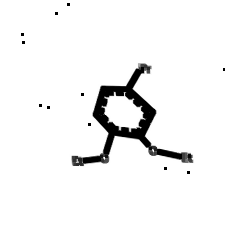 CCOc1ccc(C(C)C)cc1OCC